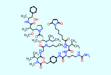 CCCCN(C(=O)CNC(=O)[C@H](C(C)C)N(C)C(=O)OCc1ccc(NC(=O)[C@H](CCCNC(N)=O)NC(=O)[C@@H](NC(=O)CCCCCN2C(=O)C=CC2=O)C(C)C)cc1)[C@@H]([C@@H](C)CC)[C@@H](CC(=O)N1CCC[C@H]1[C@H](OC)[C@@H](C)C(=O)N[C@H](C)[C@@H](O)c1ccccc1)OC